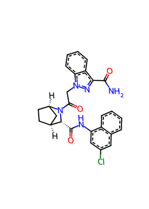 NC(=O)c1nn(CC(=O)N2[C@@H]3CC[C@@H](C3)[C@H]2C(=O)Nc2cc(Cl)cc3ccccc23)c2ccccc12